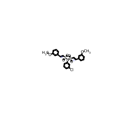 COc1cccc(/C=C/S(=O)(=O)N(c2cccc(Cl)c2)S(=O)(=O)/C=C/c2cccc(OC)c2)c1